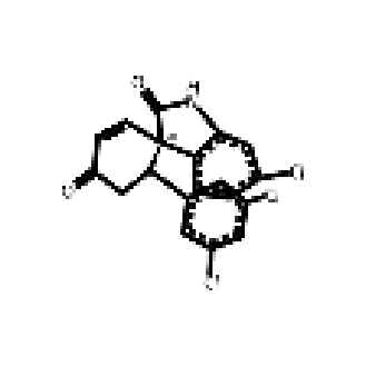 O=C1C=C[C@@]2(C(=O)Nc3cc(Cl)ccc32)C(c2cc(Cl)cc(Cl)c2)C1